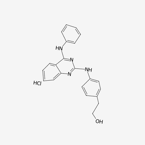 Cl.OCCc1ccc(Nc2nc(Nc3ccccc3)c3ccccc3n2)cc1